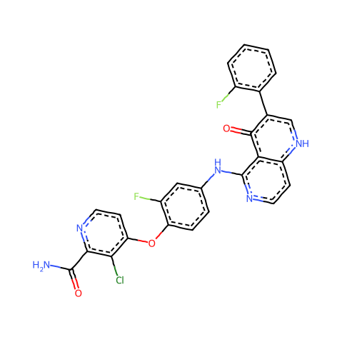 NC(=O)c1nccc(Oc2ccc(Nc3nccc4[nH]cc(-c5ccccc5F)c(=O)c34)cc2F)c1Cl